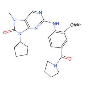 COc1cc(C(=O)N2CCCC2)ccc1Nc1ncc2c(n1)n(C1CCCC1)c(=O)n2C